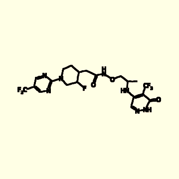 CC(CONC(=O)CC1CCN(c2ncc(C(F)(F)F)cn2)CC1F)Nc1cn[nH]c(=O)c1C(F)(F)F